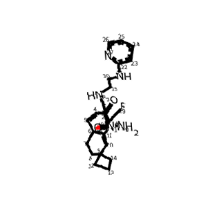 N[N+]12C(=O)C=CC3(CCC4(C=C31)CCC4)OC=C(NCCNc1ccccn1)C2F